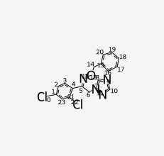 Clc1ccc(C(Cn2cncn2)=NOCc2ccccc2)c(Cl)c1